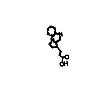 O=C(O)/C=C/c1ccn2c1cnc1ccccc12